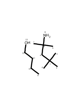 CC(C)(C)CC(C)(C)N.CCCCO